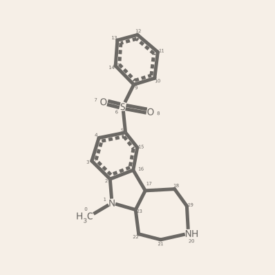 CN1c2ccc(S(=O)(=O)c3ccccc3)cc2C2CCNCCC21